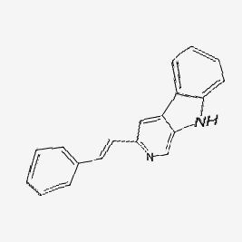 C(=C\c1cc2c(cn1)[nH]c1ccccc12)/c1ccccc1